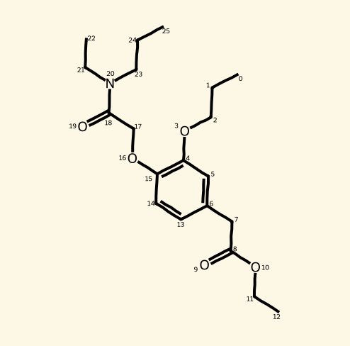 CCCOc1cc(CC(=O)OCC)ccc1OCC(=O)N(CC)CCC